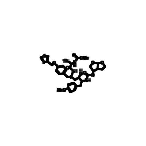 COC(=O)NC(C(=O)NN(Cc1ccc(OCc2cscn2)cc1)CC(O)C(Cc1ccc(OC)cc1)NC(=O)OC1COC2OCCC12)C(C)(C)C